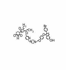 C=C/C(OCc1ccc(CN2CCN(CCOc3ccc(Oc4c(-c5ccc(Br)cc5)sc5cc(O)ccc45)cc3)CC2)nc1)=C1/CN([C@H]2CCC(=O)NC2=O)C(=O)C1=C